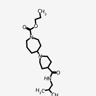 CCCOC(=O)N1CCCC(N2CCC(C(=O)NCC(C)C)CC2)CC1